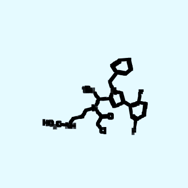 CC(C)(C)C(c1cc(-c2cc(F)ccc2F)cn1Cc1ccccc1)N(CCCNC(=O)O)C(=O)CCl